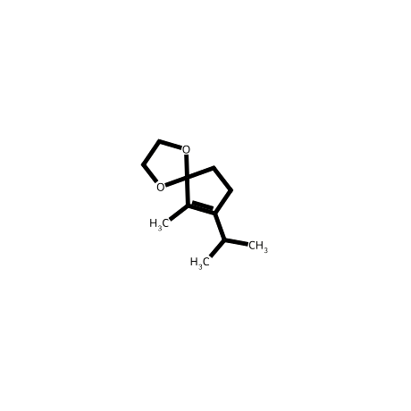 CC1=C(C(C)C)CCC12OCCO2